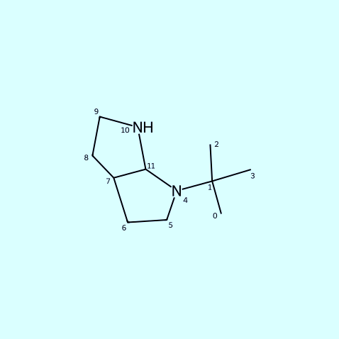 CC(C)(C)N1CCC2CCNC21